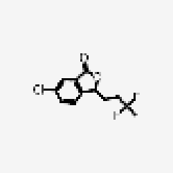 CC(F)(F)CCC1OC(=O)c2cc(Cl)ccc21